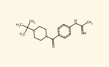 CC(=N)Nc1ccc(C(=O)N2CCN(C(C)(C)C)CC2)cc1